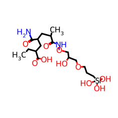 CCC(CC(CC(C)C(=O)NOCC(O)COCCC[Si](O)(O)O)C(N)=O)C(=O)O